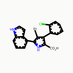 CCc1c(-c2cccc3[nH]ccc23)[nH]c(C(=O)O)c1-c1ccccc1Cl